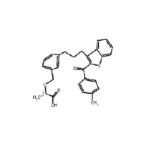 Cc1ccc(C(=O)c2sc3ccccc3c2CCCc2cccc(CO[C@@H](C)C(=O)O)c2)cc1